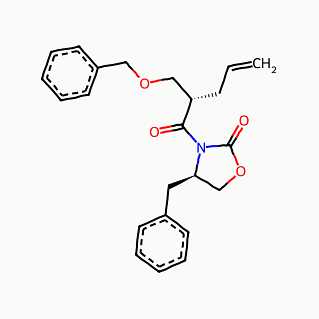 C=CC[C@@H](COCc1ccccc1)C(=O)N1C(=O)OC[C@H]1Cc1ccccc1